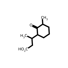 CC1CCCC(C(C)CC(=O)O)C1=O